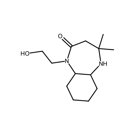 CC1(C)CC(=O)N(CCO)C2CCCCC2N1